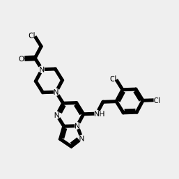 O=C(CCl)N1CCN(c2cc(NCc3ccc(Cl)cc3Cl)n3nccc3n2)CC1